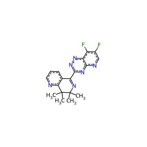 CC1(C)N=C(c2nnc3c(F)c(F)cnc3n2)c2cccnc2C1(C)C